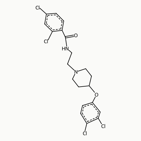 O=C(NCCN1CCC(Oc2ccc(Cl)c(Cl)c2)CC1)c1ccc(Cl)cc1Cl